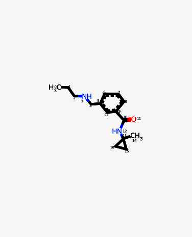 CCCNCc1cccc(C(=O)NC2(C)CC2)c1